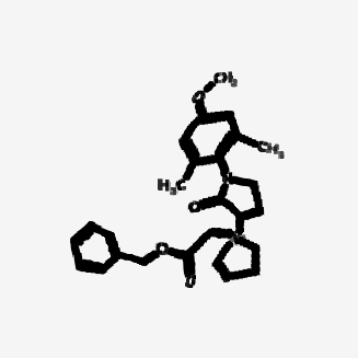 COc1cc(C)c(N2CCC([N+]3(CC(=O)OCc4ccccc4)CCCC3)C2=O)c(C)c1